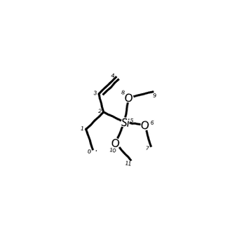 [CH2]CC(C=C)[Si](OC)(OC)OC